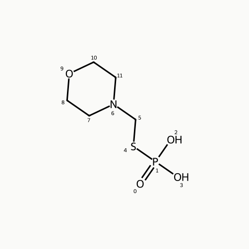 O=P(O)(O)SCN1CCOCC1